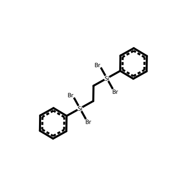 Br[Si](Br)(CC[Si](Br)(Br)c1ccccc1)c1ccccc1